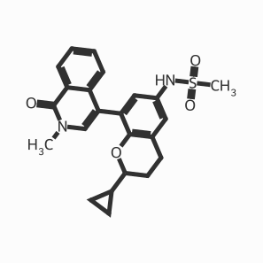 Cn1cc(-c2cc(NS(C)(=O)=O)cc3c2OC(C2CC2)CC3)c2ccccc2c1=O